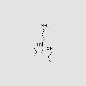 CC(C)CC(C(C)C)C(O)NCCCN